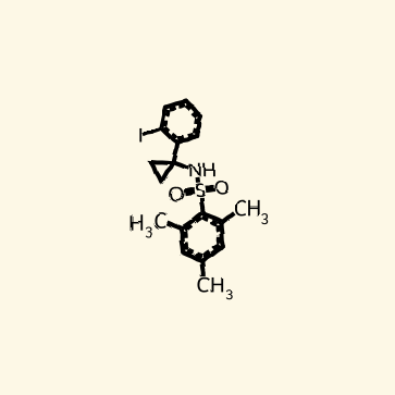 Cc1cc(C)c(S(=O)(=O)NC2(c3ccccc3I)CC2)c(C)c1